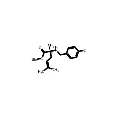 CC(C)=CC[C@@](C)(NCc1ccc(Cl)cc1)C(=O)OC(C)(C)C